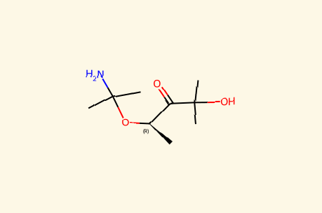 C[C@@H](OC(C)(C)N)C(=O)C(C)(C)O